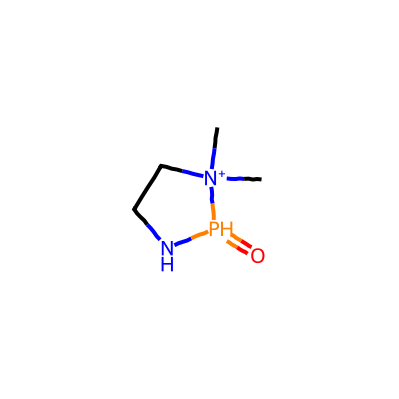 C[N+]1(C)CCN[PH]1=O